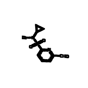 CCN(C1CC1)S(=O)(=O)c1cccc(C=O)n1